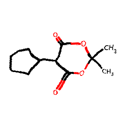 CC1(C)OC(=O)C(C2CCCC2)C(=O)O1